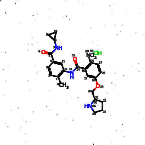 Cc1ccc(C(=O)NC2CC2)cc1NC(=O)c1cc(OC[C@H]2CCCN2)ccc1[N+](=O)[O-].Cl